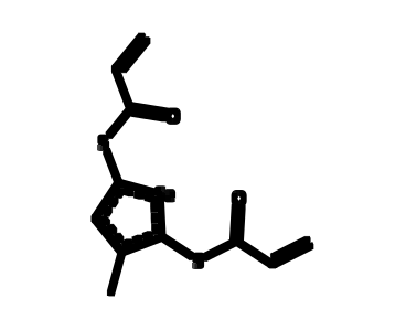 C=CC(=O)Sc1cc(C)c(SC(=O)C=C)[se]1